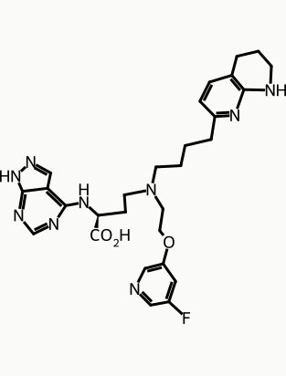 O=C(O)[C@H](CCN(CCCCc1ccc2c(n1)NCCC2)CCOc1cncc(F)c1)Nc1ncnc2[nH]ncc12